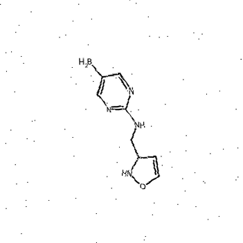 Bc1cnc(NCC2C=CON2)nc1